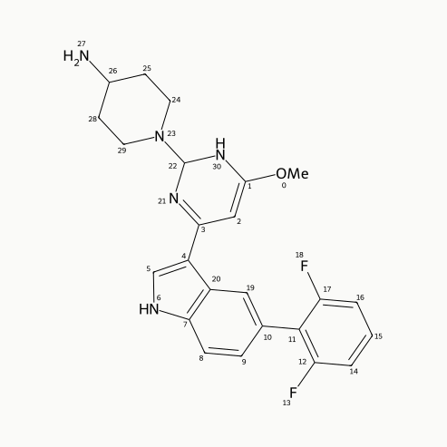 COC1=CC(c2c[nH]c3ccc(-c4c(F)cccc4F)cc23)=NC(N2CCC(N)CC2)N1